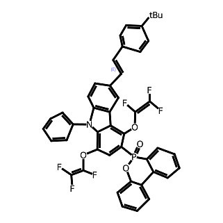 CC(C)(C)c1ccc(/C=C/c2ccc3c(c2)c2c(OC(F)=C(F)F)c(P4(=O)Oc5ccccc5-c5ccccc54)cc(OC(F)=C(F)F)c2n3-c2ccccc2)cc1